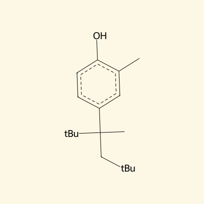 Cc1cc(C(C)(CC(C)(C)C)C(C)(C)C)ccc1O